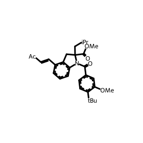 COC(=O)C1(CC(C)C)Cc2c(/C=C/C(C)=O)cccc2N1C(=O)c1ccc(C(C)(C)C)c(OC)c1